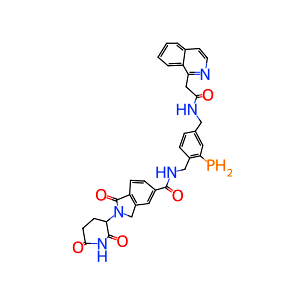 O=C(Cc1nccc2ccccc12)NCc1ccc(CNC(=O)c2ccc3c(c2)CN(C2CCC(=O)NC2=O)C3=O)c(P)c1